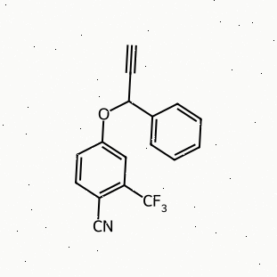 C#CC(Oc1ccc(C#N)c(C(F)(F)F)c1)c1ccccc1